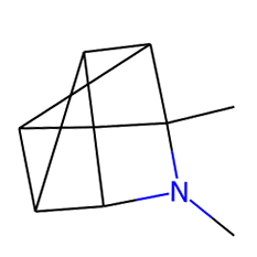 CN1C2C3C4C5C3C42C51C